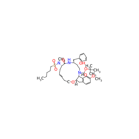 CCCCCS(=O)(=O)N(C)[C@H]1CC=CCCO[C@H]2Cc3ccc(OC)cc3[C@@H]2N(C(=O)OC(C)(C)C)C[C@@H](O)[C@H](Cc2ccccc2)NC1=O